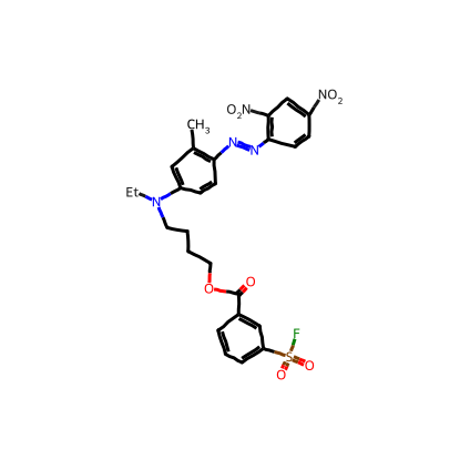 CCN(CCCCOC(=O)c1cccc(S(=O)(=O)F)c1)c1ccc(N=Nc2ccc([N+](=O)[O-])cc2[N+](=O)[O-])c(C)c1